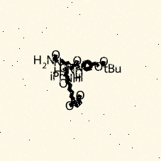 CC(C)[C@H](NC(=O)CCCCN1C(=O)C=CC1=O)C(=O)N[C@@H](CCCNC(N)=O)C(=O)Nc1ccc(COC(=O)C(C)(C)C)cc1